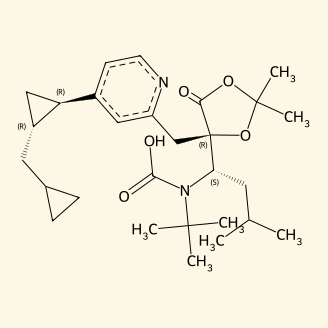 CC(C)C[C@H](N(C(=O)O)C(C)(C)C)[C@@]1(Cc2cc([C@@H]3C[C@H]3CC3CC3)ccn2)OC(C)(C)OC1=O